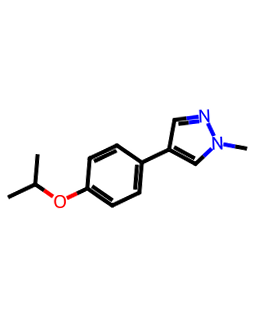 CC(C)Oc1ccc(-c2cnn(C)c2)cc1